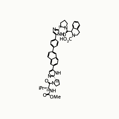 COC(=O)N[C@H](C(=O)N1CCC[C@H]1c1ncc(-c2ccc3cc(-c4ccc(-c5cnc([C@@H]6CCCN6C(=O)C6c7ccccc7CCN6C(=O)O)[nH]5)cc4)ccc3c2)[nH]1)C(C)C